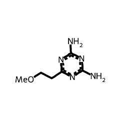 COCCc1nc(N)nc(N)n1